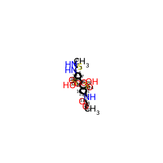 CNC(=S)Nc1ccc(/C=C/c2ccc(NC(=O)COC)cc2S(=O)(=O)O)c(S(=O)(=O)O)c1